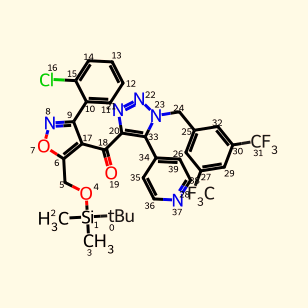 CC(C)(C)[Si](C)(C)OCc1onc(-c2ccccc2Cl)c1C(=O)c1nnn(Cc2cc(C(F)(F)F)cc(C(F)(F)F)c2)c1-c1ccncc1